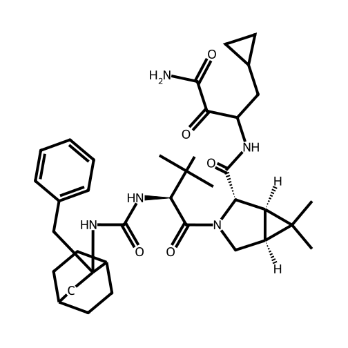 CC(C)(C)[C@H](NC(=O)NC1(Cc2ccccc2)CC2CCC1CC2)C(=O)N1C[C@H]2[C@@H]([C@H]1C(=O)NC(CC1CC1)C(=O)C(N)=O)C2(C)C